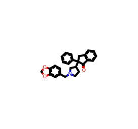 O=C1c2ccccc2CC1(c1ccccc1)C1CCN(Cc2ccc3c(c2)OCO3)C1